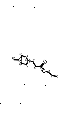 CCCOC(=O)CCN1CCN(C)CC1